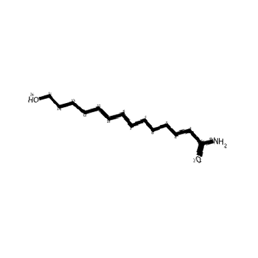 NC(=O)CCCCCCCCCCCCCO